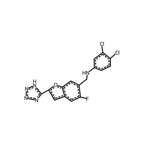 Fc1cc2cc(-c3nnn[nH]3)oc2cc1CNc1ccc(Cl)c(Cl)c1